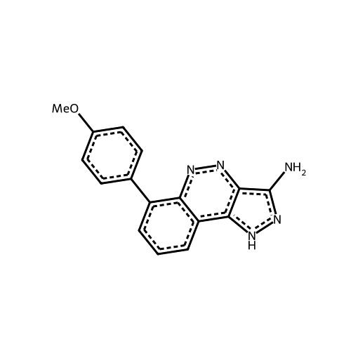 COc1ccc(-c2cccc3c2nnc2c(N)n[nH]c23)cc1